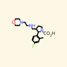 Cc1cc(F)ccc1C1C(CNCCN2CCOCC2)CCN1C(=O)O